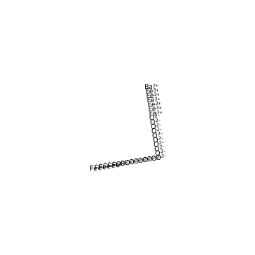 [Ba+2].[Fe+3].[Fe+3].[Fe+3].[Fe+3].[Fe+3].[Fe+3].[Fe+3].[Fe+3].[Fe+3].[Fe+3].[Fe+3].[Fe+3].[O-2].[O-2].[O-2].[O-2].[O-2].[O-2].[O-2].[O-2].[O-2].[O-2].[O-2].[O-2].[O-2].[O-2].[O-2].[O-2].[O-2].[O-2].[O-2]